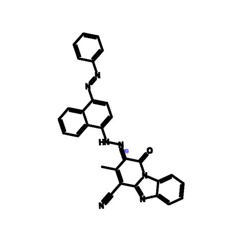 CC1=C(C#N)c2nc3ccccc3n2C(=O)/C1=N/Nc1ccc(N=Nc2ccccc2)c2ccccc12